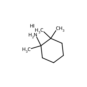 CC1(C)CCCCC1(C)N.I